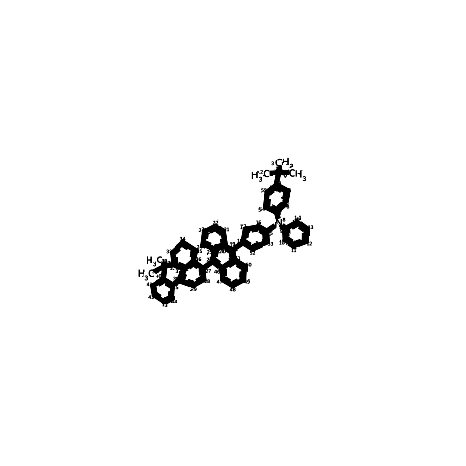 CC(C)(C)c1ccc(N(c2ccccc2)c2ccc(-c3c4ccccc4c(-c4ccc5c6c(cccc46)C(C)(C)c4ccccc4-5)c4ccccc34)cc2)cc1